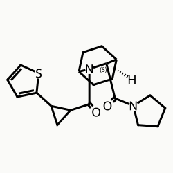 O=C([C@@H]1C2CCC(CC2)N1C(=O)C1CC1c1cccs1)N1CCCC1